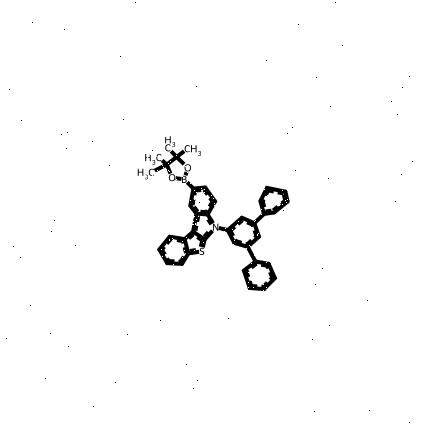 CC1(C)OB(c2ccc3c(c2)c2c4ccccc4sc2n3-c2cc(-c3ccccc3)cc(-c3ccccc3)c2)OC1(C)C